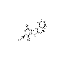 [N-]=[N+]=CC(=O)[C@H](Cc1ccc2ccccc2c1)NC(=O)O